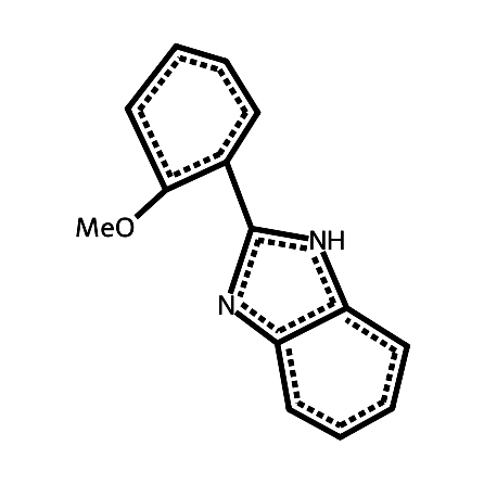 [CH2]Oc1ccccc1-c1nc2ccccc2[nH]1